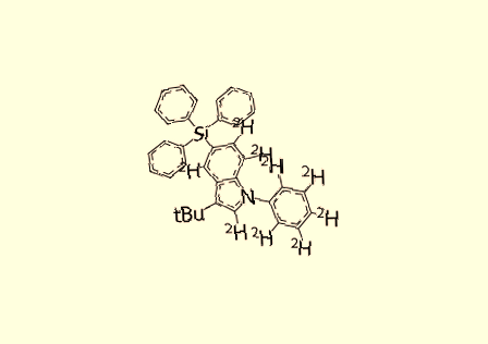 [2H]c1c([2H])c([2H])c(-n2c([2H])c(C(C)(C)C)c3c([2H])c([Si](c4ccccc4)(c4ccccc4)c4ccccc4)c([2H])c([2H])c32)c([2H])c1[2H]